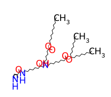 CCCCCCCCCCCOC(=O)CCCCCN(CCCCCCCC(=O)OC(CCCCCCCC)CCCCCCCC)CC(O)CCCCCCNC(=O)c1cc[nH]c1